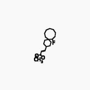 COC(=O)/C=C/C1CCC2(CCCCCCCC2F)CC1